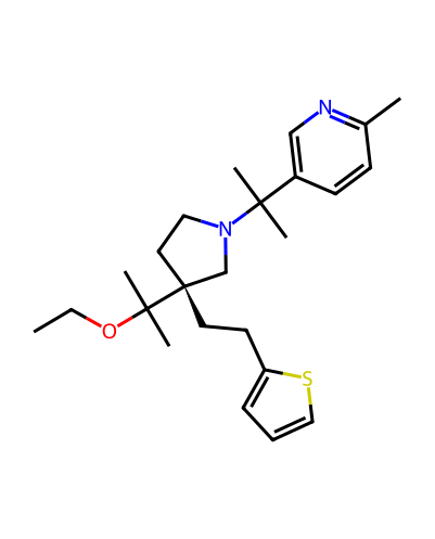 CCOC(C)(C)[C@]1(CCc2cccs2)CCN(C(C)(C)c2ccc(C)nc2)C1